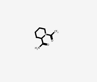 NC(=O)C1C[CH]CCN1C(=O)C(F)(F)F